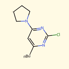 CCCCc1cc(N2C[CH]CC2)nc(Cl)n1